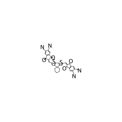 N#Cc1cc2c(cc1C#N)C(=O)C(=Cc1cc3c(s1)-c1sc(C=C4C(=O)c5cc(C#N)c(C#N)cc5C4=O)cc1C31CCCCC1)C2=O